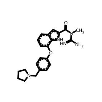 CN(C(=N)N)C(=O)c1cc2cccc(Oc3ccc(CN4CCCC4)cc3)c2[nH]1